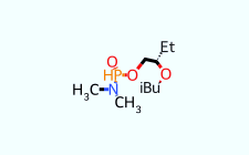 CC[C@@H](CO[PH](=O)N(C)C)O[C@@H](C)CC